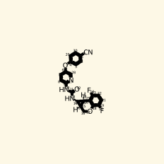 N#Cc1ccc(Oc2ccc(NC(=O)N[C@@H]3[C@@H]4COc5c(F)ccc(F)c5[C@@H]43)nc2)cc1